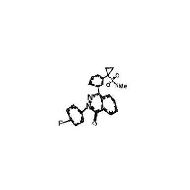 CNS(=O)(=O)C1(c2cccc(-c3nn(-c4ccc(F)cc4)c(=O)c4ccccc34)c2)CC1